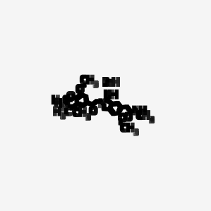 Br.CCOc1cc2c(cc1CC(=O)NC)C(=N)N(CC(=O)c1cc(OCC)c(OC)c(C(C)(C)C)c1)C2